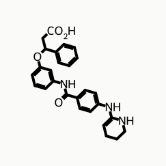 O=C(O)CC(Oc1cccc(NC(=O)c2ccc(NC3=CCCCN3)cc2)c1)c1ccccc1